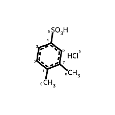 Cc1ccc(S(=O)(=O)O)cc1C.Cl